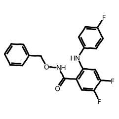 O=C(NOCc1ccccc1)c1cc(F)c(F)cc1Nc1ccc(F)cc1